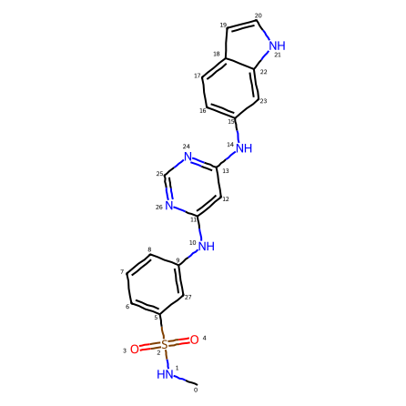 CNS(=O)(=O)c1cccc(Nc2cc(Nc3ccc4cc[nH]c4c3)ncn2)c1